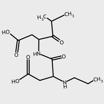 CCCNC(CC(=O)O)C(=O)NC(CC(=O)O)C(=O)C(C)C